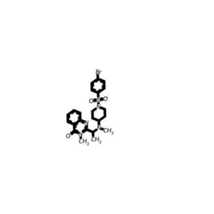 CC(c1nc2ccccc2c(=O)n1C)N(C)C1CCN(S(=O)(=O)c2ccc(Br)cc2)CC1